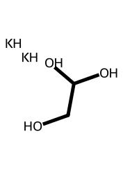 OCC(O)O.[KH].[KH]